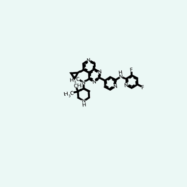 CN(c1nc(-c2ccnc(Nc3ncc(F)cc3F)c2)nc2cncc(C3CC3)c12)C1CCNCC1(C)C